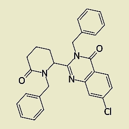 O=C1CCCC(c2nc3cc(Cl)ccc3c(=O)n2Cc2ccccc2)N1Cc1ccccc1